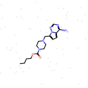 CCCCOC(=O)N1CCN(Cc2ccc3c(N)ncnn23)CC1